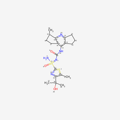 Cc1sc(S(N)(=O)=NC(=O)Nc2c3c(nc4c2CCC4C)CCC3)nc1C(C)(C)O